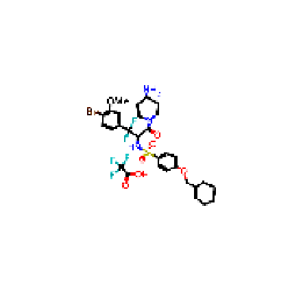 COc1cc(C(F)(F)C(NS(=O)(=O)c2ccc(OCC3CCCCC3)cc2)C(=O)N2CCC(N)CC2)ccc1Br.O=C(O)C(F)(F)F